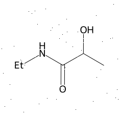 CCNC(=O)C(C)O